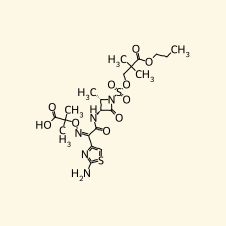 CCCOC(=O)C(C)(C)COS(=O)(=O)N1C(=O)[C@@H](NC(=O)C(=NOC(C)(C)C(=O)O)c2csc(N)n2)[C@@H]1C